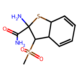 CS(=O)(=O)C1C2C=CC=CC2SC1(N)C(N)=O